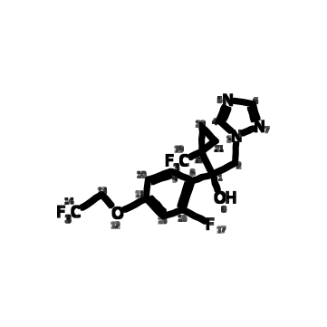 OC(Cn1cncn1)(c1ccc(OCC(F)(F)F)cc1F)C1(C(F)(F)F)CC1